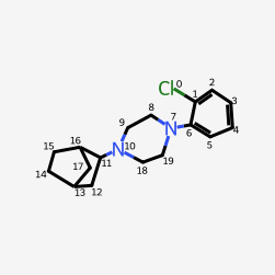 Clc1ccccc1N1CCN(C2CC3CCC2C3)CC1